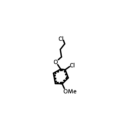 COc1ccc(OCCCCl)c(Cl)c1